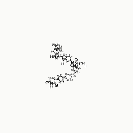 CC(C(=O)N(C)c1ccc2cc(-c3n[nH]c4c3C[C@@H]3C(F)(F)[C@]3(C)C4)[nH]c2c1)N1CCN(CC2CCN(c3ccc(C4CCC(=O)NC4=O)cn3)CC2)CC1